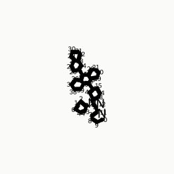 c1ccc(-n2c(-c3ccccn3)nc3ccc(-c4c5ccccc5c(-c5ccc6ccccc6c5)c5ccccc45)cc32)cc1